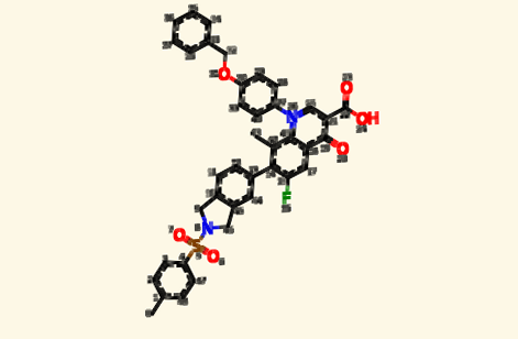 Cc1ccc(S(=O)(=O)N2Cc3ccc(-c4c(F)cc5c(=O)c(C(=O)O)cn(-c6ccc(OCc7ccccc7)cc6)c5c4C)cc3C2)cc1